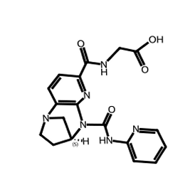 O=C(O)CNC(=O)c1ccc2c(n1)N(C(=O)Nc1ccccn1)[C@H]1CCN2C1